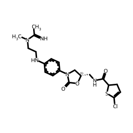 CC(=N)N(C)CCNc1ccc(N2C[C@H](CNC(=O)C3CC=C(Cl)S3)OC2=O)cc1